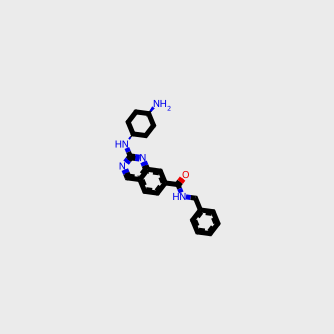 N[C@H]1CC[C@H](Nc2ncc3ccc(C(=O)NCc4ccccc4)cc3n2)CC1